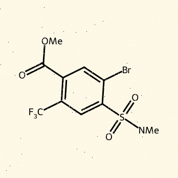 CNS(=O)(=O)c1cc(C(F)(F)F)c(C(=O)OC)cc1Br